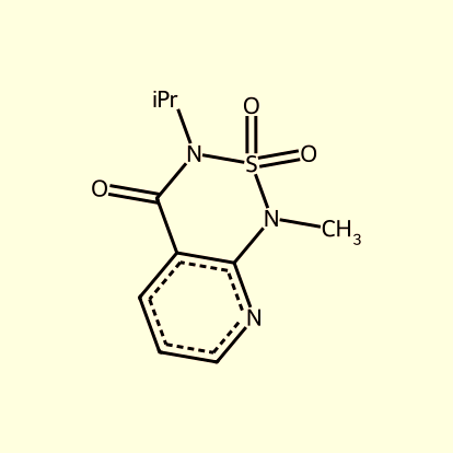 CC(C)N1C(=O)c2cccnc2N(C)S1(=O)=O